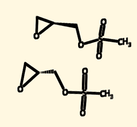 CS(=O)(=O)OC[C@@H]1CO1.CS(=O)(=O)OC[C@H]1CO1